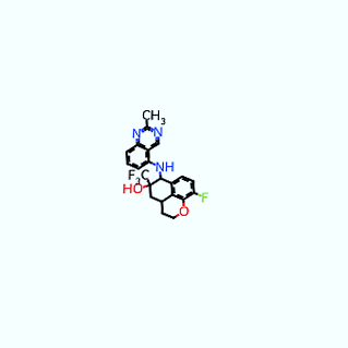 Cc1ncc2c(NC3c4ccc(F)c5c4C(CCO5)CC3(O)C(F)(F)F)cccc2n1